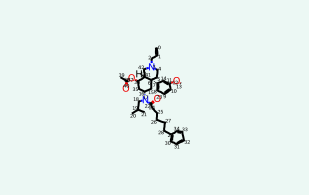 C=CCN1CC[C@@]2(c3cccc(OC)c3)C[C@H](N(CC(C)C)C(=O)CCCCCc3ccccc3)CC(OC(C)=O)[C@@H]2C1